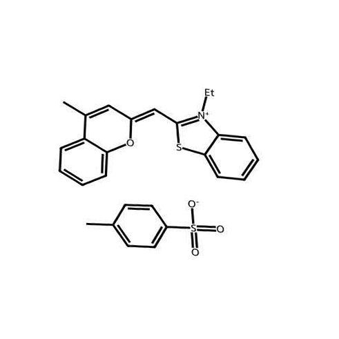 CC[n+]1c(C=C2C=C(C)c3ccccc3O2)sc2ccccc21.Cc1ccc(S(=O)(=O)[O-])cc1